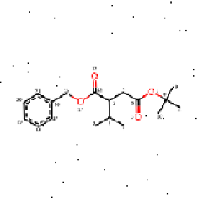 CC(C)C(CC(=O)OC(C)(C)C)C(=O)OCc1ccccc1